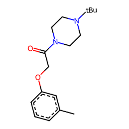 Cc1cccc(OCC(=O)N2CCN(C(C)(C)C)CC2)c1